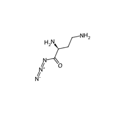 [N-]=[N+]=NC(=O)[C@@H](N)CCN